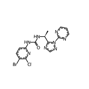 C[C@H](NC(=O)Nc1ccc(Br)c(Cl)n1)c1ncnn1-c1ncccn1